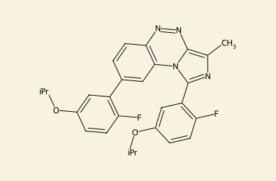 Cc1nc(-c2cc(OC(C)C)ccc2F)n2c1nnc1ccc(-c3cc(OC(C)C)ccc3F)cc12